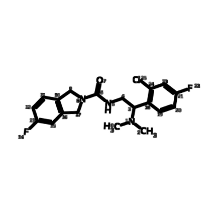 CN(C)C(CNC(=O)N1Cc2ccc(F)cc2C1)c1ccc(F)cc1Cl